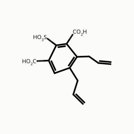 C=CCc1cc(C(=O)O)c(S(=O)(=O)O)c(C(=O)O)c1CC=C